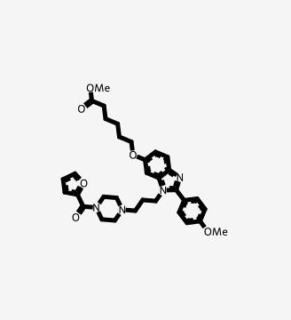 COC(=O)CCCCCOc1ccc2nc(-c3ccc(OC)cc3)n(CCCN3CCN(C(=O)c4ccco4)CC3)c2c1